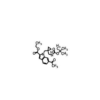 CCOC(=O)c1cc2ccc(C(C)=O)cc2n1CC1(CNC(=O)OC(C)(C)C)CC1